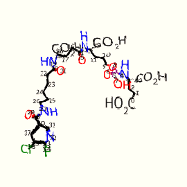 O=C(O)CC[C@H](NP(=O)(O)OCCC[C@H](NC(=O)CC[C@H](NC(=O)CCCCCNC(=O)c1cnc(F)c(Cl)c1)C(=O)O)C(=O)O)C(=O)O